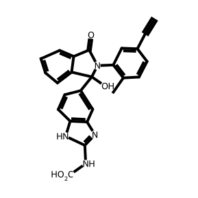 C#Cc1ccc(C)c(N2C(=O)c3ccccc3C2(O)c2ccc3[nH]c(NC(=O)O)nc3c2)c1